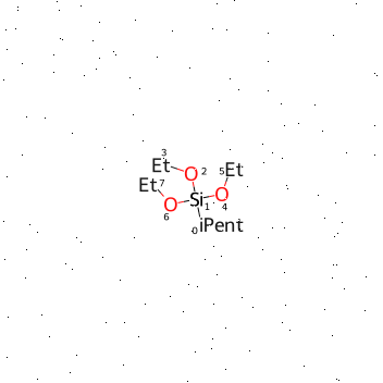 CCCC(C)[Si](OCC)(OCC)OCC